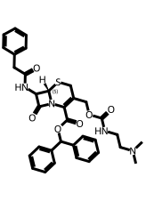 CN(C)CCNC(=O)OCC1=C(C(=O)OC(c2ccccc2)c2ccccc2)N2C(=O)C(NC(=O)Cc3ccccc3)[C@@H]2SC1